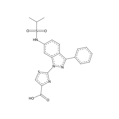 CC(C)S(=O)(=O)Nc1ccc2c(-c3ccccc3)nn(-c3nc(C(=O)O)cs3)c2c1